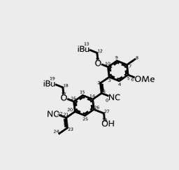 [C-]#[N+]/C(=C\c1cc(OC)c(C)cc1OCC(C)CC)c1cc(OCC(C)CC)c(/C(C#N)=C/C)cc1CO